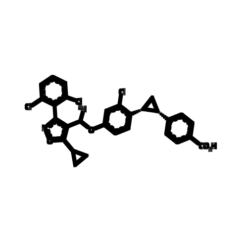 [2H]C(Oc1ccc([C@@H]2C[C@@H]2c2ccc(C(=O)O)cc2)c(Cl)c1)c1c(-c2c(Cl)cccc2Cl)noc1C1CC1